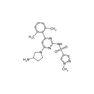 Cc1cccc(C)c1-c1cc(N2CCC(N)C2)nc(NS(=O)(=O)c2cnn(C)c2)n1